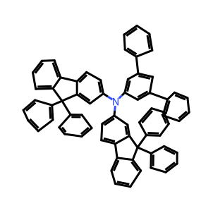 c1ccc(-c2cc(-c3ccccc3)cc(N(c3ccc4c(c3)C(c3ccccc3)(c3ccccc3)c3ccccc3-4)c3ccc4c(c3)C(c3ccccc3)(c3ccccc3)c3ccccc3-4)c2)cc1